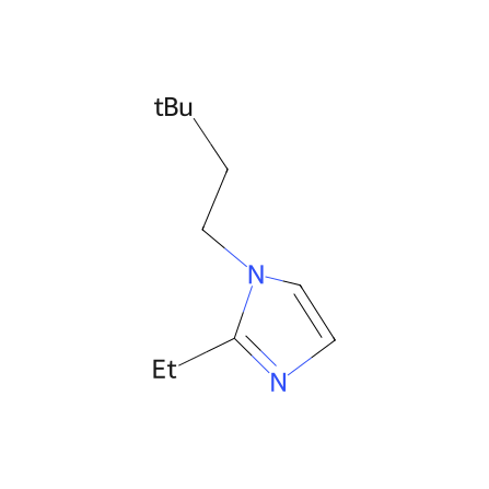 CCc1nccn1CCC(C)(C)C